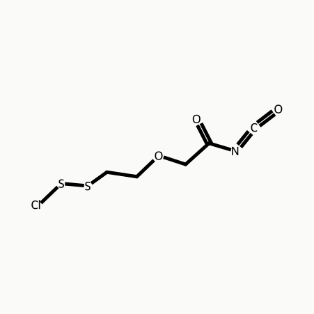 O=C=NC(=O)COCCSSCl